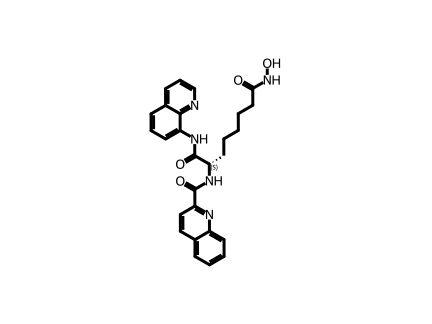 O=C(CCCCC[C@H](NC(=O)c1ccc2ccccc2n1)C(=O)Nc1cccc2cccnc12)NO